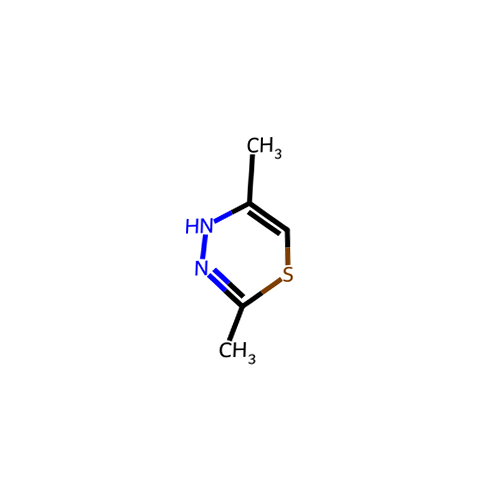 CC1=CSC(C)=NN1